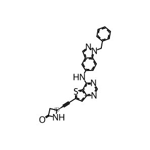 O=C1C[C@@H](C#Cc2cc3ncnc(Nc4ccc5c(cnn5Cc5ccccc5)c4)c3s2)N1